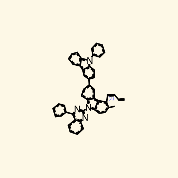 C=C/C=C\c1c(C)ccc2c1c1cc(-c3ccc4c(c3)c3ccccc3n4-c3ccccc3)ccc1n2-c1nc(-c2ccccc2)c2ccccc2n1